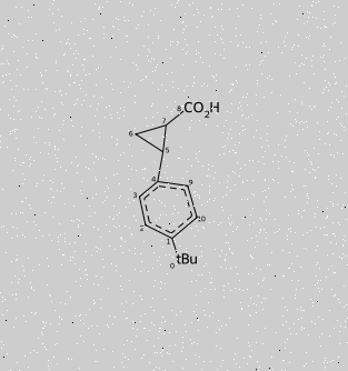 CC(C)(C)c1ccc(C2CC2C(=O)O)cc1